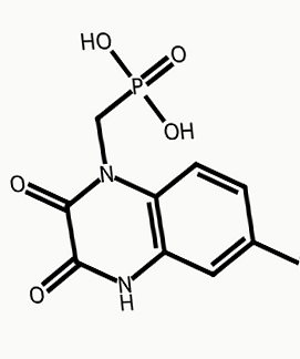 O=c1[nH]c2cc(I)ccc2n(CP(=O)(O)O)c1=O